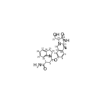 NC(=O)CCC(Oc1ccc2c(c1)CN1C(=N2)NC(=O)C1CO)N1CCc2ccccc21